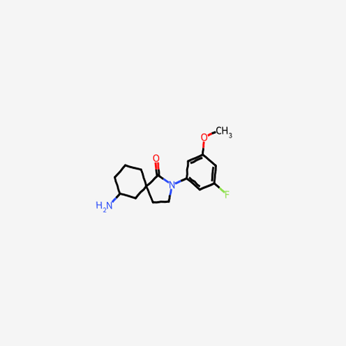 COc1cc(F)cc(N2CCC3(CCCC(N)C3)C2=O)c1